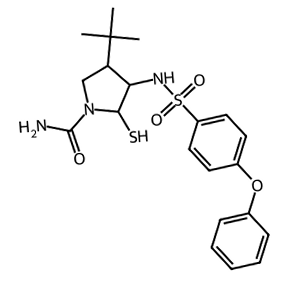 CC(C)(C)C1CN(C(N)=O)C(S)C1NS(=O)(=O)c1ccc(Oc2ccccc2)cc1